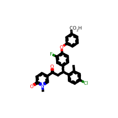 Cc1cc(Cl)ccc1C(CC(=O)c1ccc(=O)n(C)c1)c1ccc(Oc2cccc(C(=O)O)c2)c(F)c1